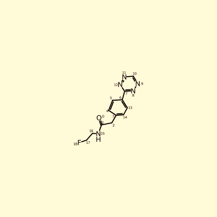 O=C(Cc1ccc(-c2nncnn2)cc1)NCCF